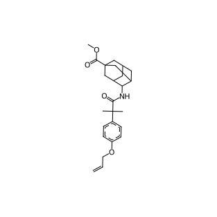 C=CCOc1ccc(C(C)(C)C(=O)NC2C3CC4CC2CC(C(=O)OC)(C4)C3)cc1